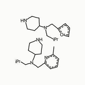 CC(C)CN(Cc1ccco1)C1CCNCC1.Cc1cccc(CN(CC(C)C)C2CCNCC2)n1